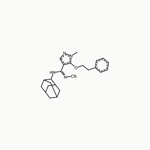 Cn1ncc(C(=NC#N)NC2C3CC4CC(C3)CC2C4)c1OCCc1ccccc1